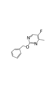 Cc1nc(OCc2ccccc2)ncc1F